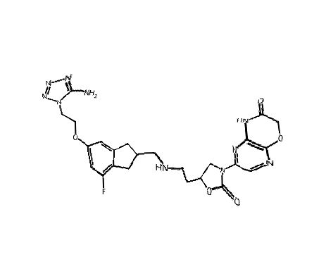 Nc1nnnn1CCOc1cc(F)c2c(c1)CC(CNCCC1CN(c3cnc4c(n3)NC(=O)CO4)C(=O)O1)C2